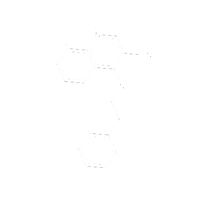 N#Cc1cnc2ccc(Br)cc2c1NCCc1ccccc1